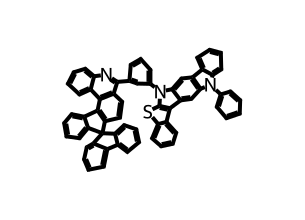 c1ccc(-n2c3ccccc3c3cc4c(cc32)c2c3ccccc3sc2n4-c2cccc(-c3nc4ccccc4c4c5c(ccc34)C3(c4ccccc4-c4ccccc43)c3ccccc3-5)c2)cc1